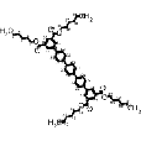 C=CCCCCOC(=O)c1cc(C(=O)OCCCCC=C)cc(-c2ccc(-c3ccc(-c4ccc(-c5cc(C(=O)OCCCCC=C)cc(C(=O)OCCCCC=C)c5)cc4)cc3)cc2)c1